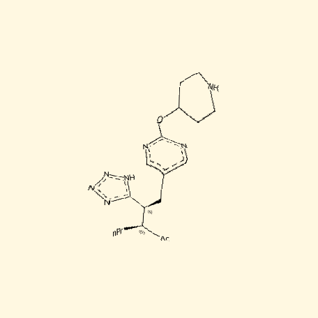 CCC[C@H](C(C)=O)[C@H](Cc1cnc(OC2CCNCC2)nc1)c1nnn[nH]1